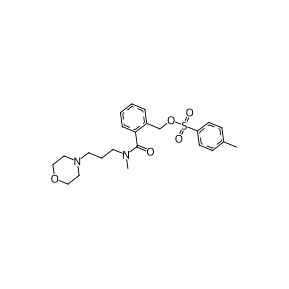 Cc1ccc(S(=O)(=O)OCc2ccccc2C(=O)N(C)CCCN2CCOCC2)cc1